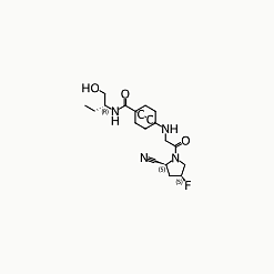 CC[C@H](CO)NC(=O)C12CCC(NCC(=O)N3C[C@@H](F)C[C@H]3C#N)(CC1)CC2